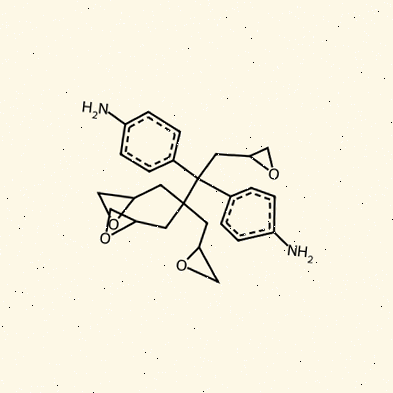 Nc1ccc(C(CC2CO2)(c2ccc(N)cc2)C(CC2CO2)(CC2CO2)CC2CO2)cc1